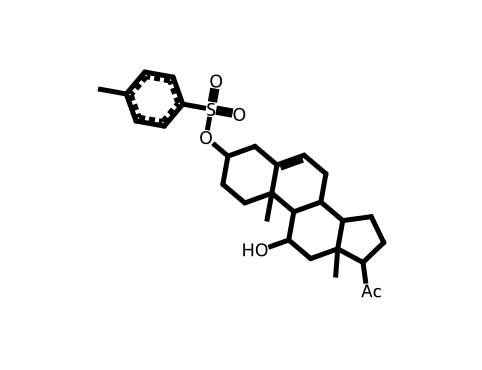 CC(=O)C1CCC2C3CC=C4CC(OS(=O)(=O)c5ccc(C)cc5)CCC4(C)C3C(O)CC12C